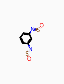 O=S=Nc1cccc(N=S=O)c1